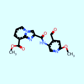 COC(=O)c1cccn2cc(C(=O)Nc3cnc(OC)cc3C=O)nc12